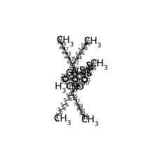 CCCCCCCCCCC(/C=C/N1C(=O)c2c(-c3ccccc3)c3c(c(-c4ccccc4)c2=C1C)C(=O)N(/C=C/C(CCCCCCCCCC)CCCCCCCCCC)C=3c1cc2sc3cc(C)sc3c2s1)CCCCCCCCCC